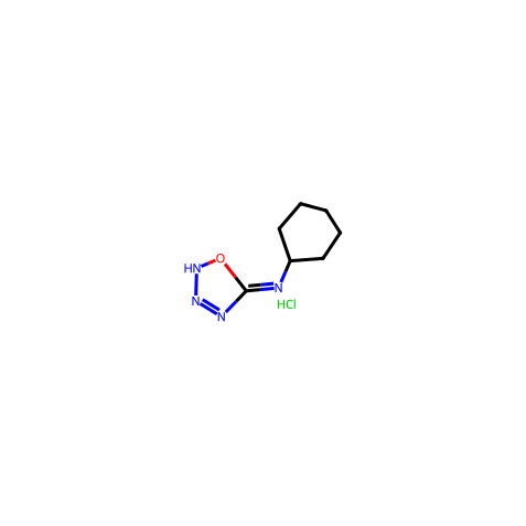 C1CCC(N=c2nn[nH]o2)CC1.Cl